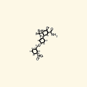 NC(=O)c1cc(-c2ccc(OCc3cccc([N+](=O)[O-])c3)cc2)c(C(F)(F)F)[nH]c1=O